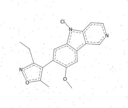 CCc1noc(C)c1-c1cc2c(cc1OC)c1cnccc1n2Cl